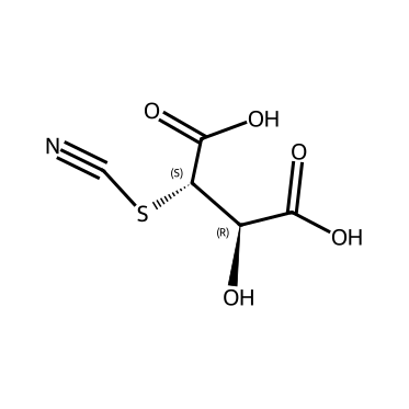 N#CS[C@H](C(=O)O)[C@H](O)C(=O)O